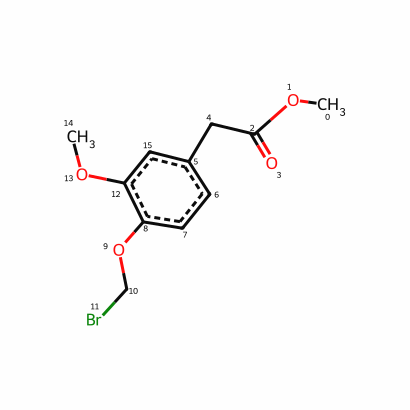 COC(=O)Cc1ccc(OCBr)c(OC)c1